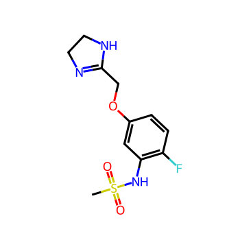 CS(=O)(=O)Nc1cc(OCC2=NCCN2)ccc1F